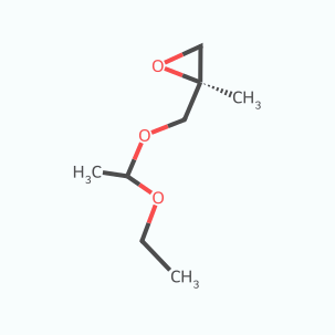 CCOC(C)OC[C@]1(C)CO1